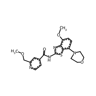 COCc1cc(C(=O)Nc2nc3c(OC)ccc(N4CCOCC4)c3s2)ccn1